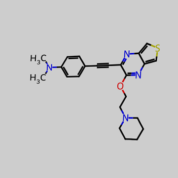 CN(C)c1ccc(C#Cc2nc3cscc3nc2OCCN2CCCCC2)cc1